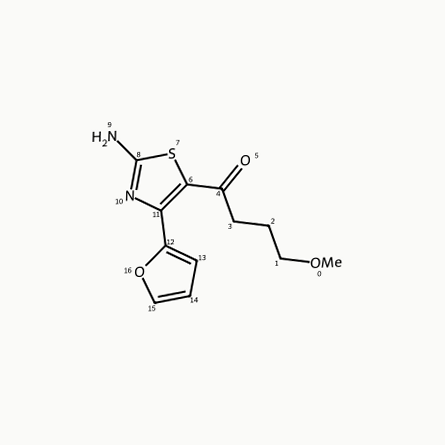 COCCCC(=O)c1sc(N)nc1-c1ccco1